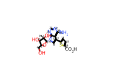 C[C@]1(O)C(O)C(CO)O[C@H]1n1cc(-c2ccc(C(=O)O)s2)c2c(N)ncnc21